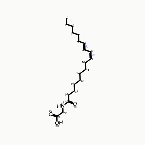 CCCCCC/C=C/C=C\CCCCCCCC(=O)NCC(=O)O